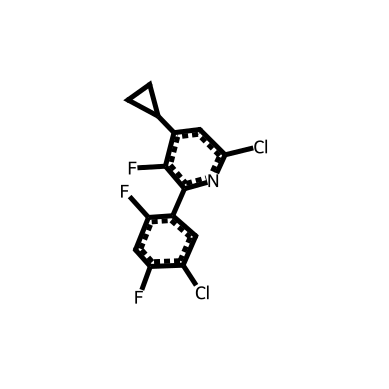 Fc1cc(F)c(-c2nc(Cl)cc(C3CC3)c2F)cc1Cl